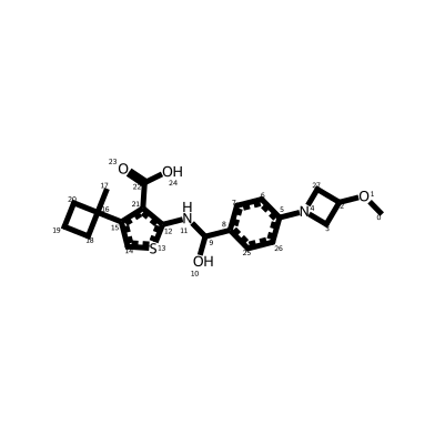 COC1CN(c2ccc(C(O)Nc3scc(C4(C)CCC4)c3C(=O)O)cc2)C1